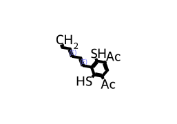 C=C/C=C/C=C/c1c(S)c(C(C)=O)cc(C(C)=O)c1S